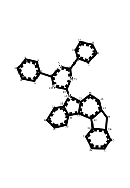 c1ccc(-c2nc(-c3ccccc3)nc(-n3c4ccccc4c4c5c(ccc43)Cc3ccccc3-5)n2)cc1